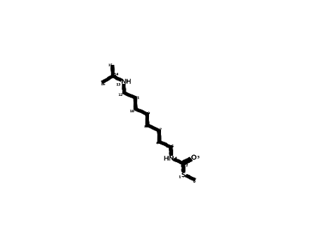 CSC(=O)NCCCCCCCCNC(C)C